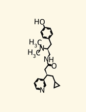 CN(C)[C@H](CNC(=O)C[C@@H](CC1CC1)c1cccnc1)Cc1ccc(O)cc1